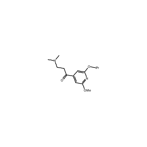 COc1cc(C(=O)CCN(C)C)cc(OC(C)C)n1